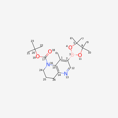 Cc1c(B2OC(C)(C)C(C)(C)O2)cnc2c1N(C(=O)OC(C)(C)C)CCC2